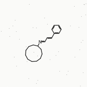 C(/C=C/c1ccccc1)=NC1CCCCCCCCCC1